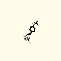 CC(C)Oc1ccc(/C=C/S(N)(=O)=O)cc1